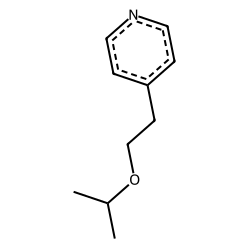 CC(C)OCCc1ccncc1